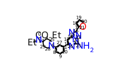 CCOC(=O)N(CC)C1CCN(c2cccc(-c3cc4nc(-c5ccco5)nn4c(N)n3)c2)CC1